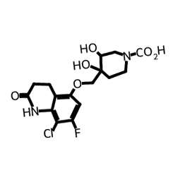 O=C1CCc2c(OCC3(O)CCN(C(=O)O)CC3O)cc(F)c(Cl)c2N1